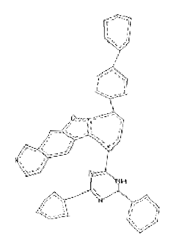 c1ccc(C2=NC(c3ccccc3)NC(c3ccc(-c4ccc(-c5ccccc5)cc4)c4oc5cc6cnccc6cc5c34)=N2)cc1